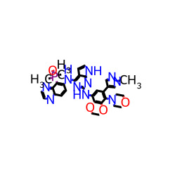 Cn1cc(-c2cc(Nc3nc(Nc4ccc5nccnc5c4P(C)(C)=O)c4cc[nH]c4n3)c3c(c2N2CCOCC2)OCCO3)cn1